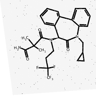 CC(C)(C(N)=O)C(=O)N(CCC(F)(F)C(F)(F)F)[C@@H]1C(=O)N(CC2CC2)c2ccccc2-c2ccccc21